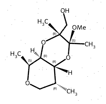 CO[C@@]1(C)O[C@H]2[C@H](O[C@]1(C)CO)[C@H](C)OC[C@H]2C